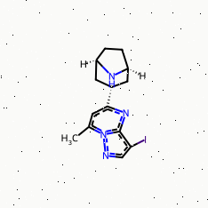 Cc1cc([C@@H]2C[C@H]3CC[C@@H](C2)N3)nc2c(I)cnn12